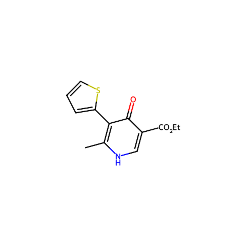 CCOC(=O)c1c[nH]c(C)c(-c2cccs2)c1=O